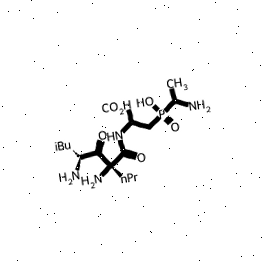 CCC[C@](N)(C(=O)NC(CP(=O)(O)C(C)N)C(=O)O)C(=O)[C@@H](N)[C@@H](C)CC